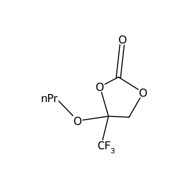 CCCOC1(C(F)(F)F)COC(=O)O1